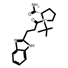 CC(C)(C)[N+]1(C(=O)CCc2nc3ccccc3[nH]2)CCC[C@H]1C(N)=O